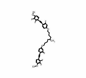 CCOc1ccc(C#Cc2ccc(OCCCCC(C)CCCCOc3ccc(C#Cc4ccc(OCC)c(F)c4F)c(F)c3)cc2F)c(F)c1F